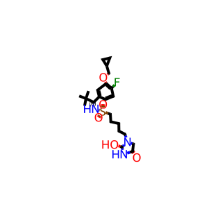 CC(C)(C)[C@@H](NS(=O)(=O)CCCCCN1CC(=O)NC1O)c1ccc(F)c(OCC2CC2)c1